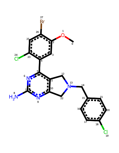 COc1cc(-c2nc(N)nc3c2CN(Cc2ccc(Cl)cc2)C3)c(Cl)cc1Br